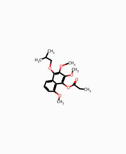 CCC(=O)Oc1c(OC)c(OC)c(OCC(C)C)c2cccc(OC)c12